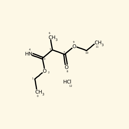 CCOC(=N)C(C)C(=O)OCC.Cl